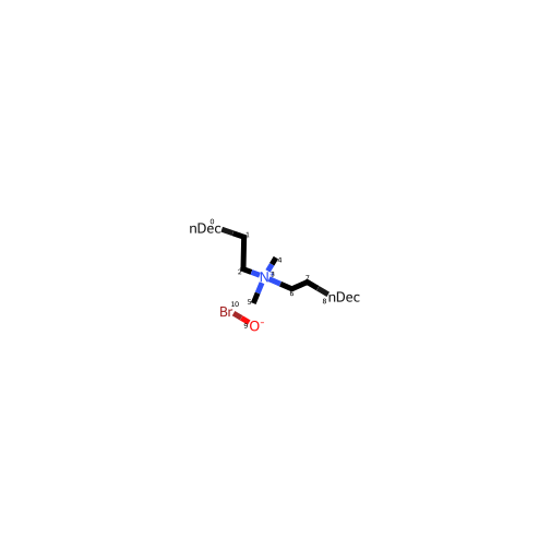 CCCCCCCCCCCC[N+](C)(C)CCCCCCCCCCCC.[O-]Br